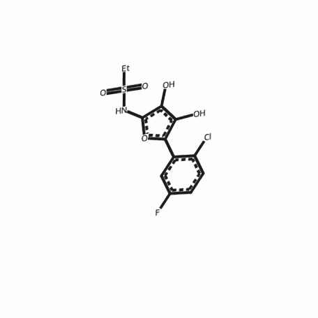 CCS(=O)(=O)Nc1oc(-c2cc(F)ccc2Cl)c(O)c1O